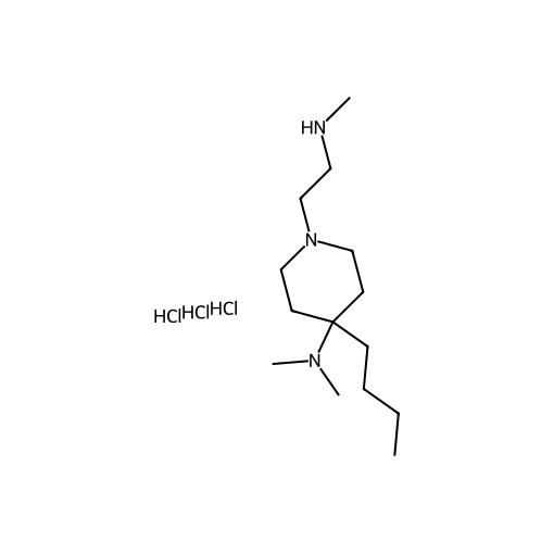 CCCCC1(N(C)C)CCN(CCNC)CC1.Cl.Cl.Cl